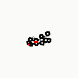 c1ccc(-c2ccc(-c3ccccc3N(c3ccc4c(c3)oc3ccc5ccccc5c34)c3cccc4c3c3ccc5ccccc5c3n4-c3ccccc3)cc2)cc1